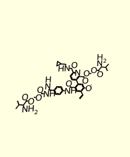 C=Cc1cc(C(=O)Nc2ccc(C(=N)NC(=O)OCOC(=O)C(N)C(C)C)cc2)c(-c2ccc(C(=O)NCC3CC3)nc2C(=O)OCOC(=O)[C@@H](N)C(C)C)cc1OC